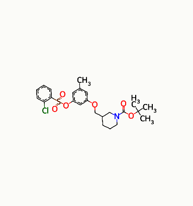 Cc1cc(OCC2CCCN(C(=O)OC(C)(C)C)C2)cc(OS(=O)(=O)c2ccccc2Cl)c1